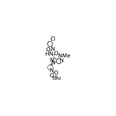 CNc1nccc2c1c(C(=O)Nc1nc3cc(Cl)ccc3o1)nn2[C@@H]1CCCN(C(=O)OC(C)(C)C)C1